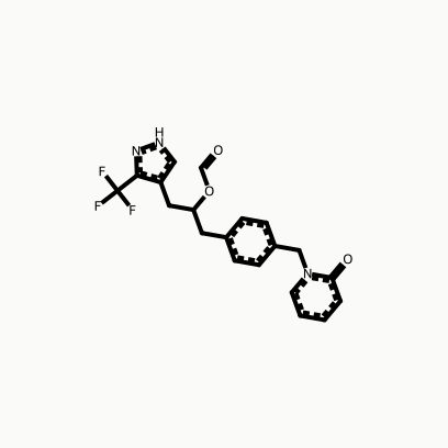 O=COC(Cc1ccc(Cn2ccccc2=O)cc1)Cc1c[nH]nc1C(F)(F)F